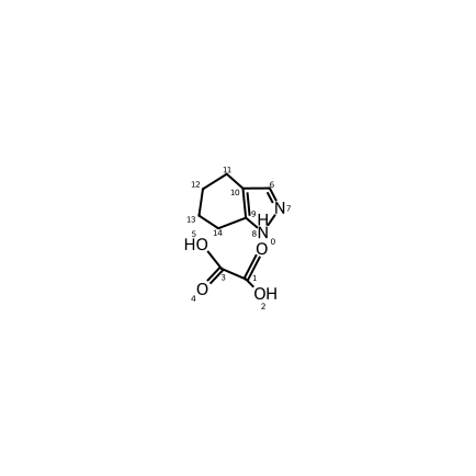 O=C(O)C(=O)O.c1n[nH]c2c1CCCC2